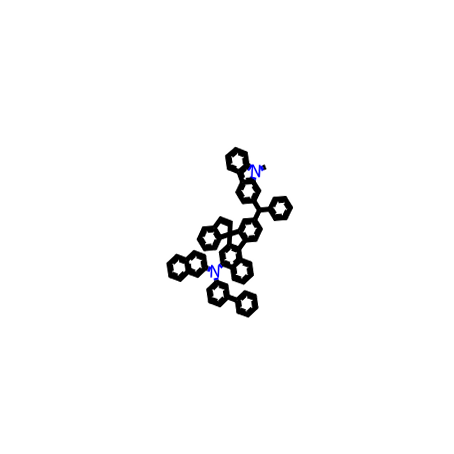 Cn1c2ccccc2c2ccc(C(c3ccccc3)c3ccc4c(c3)C3(C=Cc5ccccc53)c3cc(N(c5cccc(-c6ccccc6)c5)c5ccc6ccccc6c5)c5ccccc5c3-4)cc21